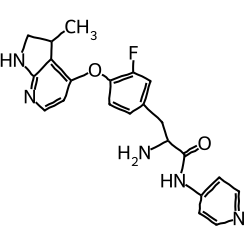 CC1CNc2nccc(Oc3ccc(CC(N)C(=O)Nc4ccncc4)cc3F)c21